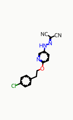 N#CC(C#N)=NNc1ccc(OCCc2ccc(Cl)cc2)nc1